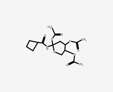 CC(=O)OC1COC(NC(=O)C2CCC2)(OC(C)=O)CC1OC(C)=O